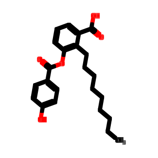 CCCCCCCCCc1c(OC(=O)c2ccc(O)cc2)cccc1C(=O)O